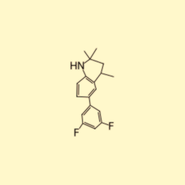 CC1CC(C)(C)Nc2ccc(-c3cc(F)cc(F)c3)cc21